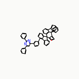 c1ccc(-c2cc(-c3cccc(-c4cccc5c4-c4ccccc4C54c5ccccc5C5(c6ccccc6)c6ccccc6-c6cccc4c65)c3)nc(-c3ccccc3)n2)cc1